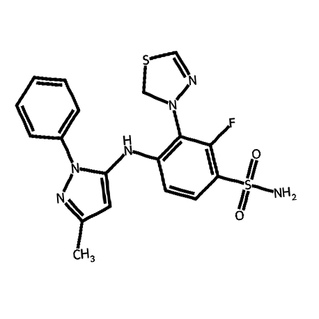 Cc1cc(Nc2ccc(S(N)(=O)=O)c(F)c2N2CSC=N2)n(-c2ccccc2)n1